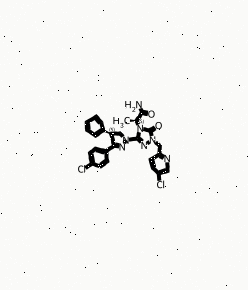 C[C@@H](C(N)=O)n1c(N2C[C@H](c3ccccc3)C(c3ccc(Cl)cc3)=N2)nn(Cc2ccc(Cl)cn2)c1=O